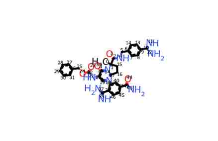 CC1(C(=O)NCc2ccc(C(=N)N)cc2)CCc2ncc(NC(=O)OCc3ccccc3)c(=O)n21.N=C(N)c1ccc(C(N)=O)cc1